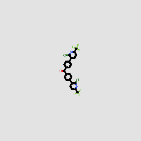 O=C(c1ccc(-c2ccc(C(F)(F)F)nc2Cl)cc1)c1ccc(-c2ccc(C(F)(F)F)nc2Cl)cc1